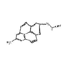 Cc1cc2ccc3cc(OBO)cc4ccc(c1)c2c34